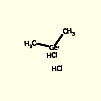 Cl.Cl.[CH3][Ge][CH3]